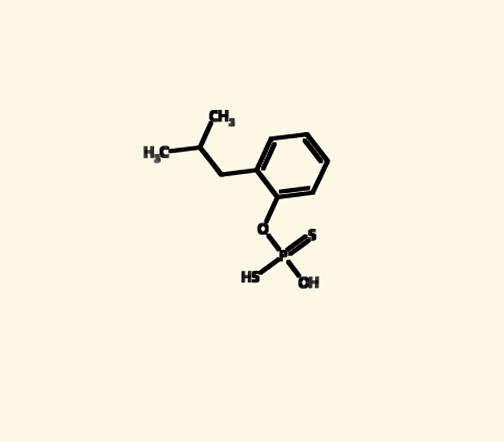 CC(C)Cc1ccccc1OP(O)(=S)S